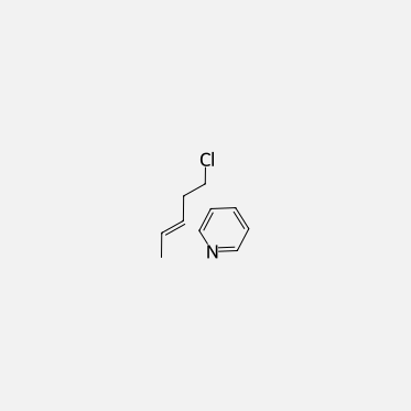 C/C=C/CCCl.c1ccncc1